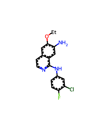 CCOc1cc2ccnc(Nc3ccc(F)c(Cl)c3)c2cc1N